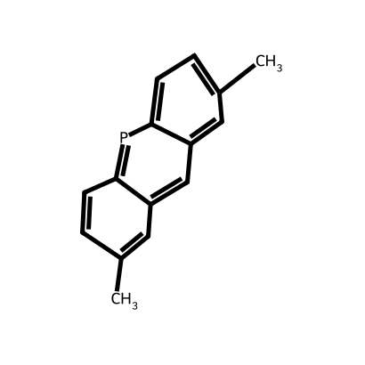 Cc1ccc2pc3ccc(C)cc3cc2c1